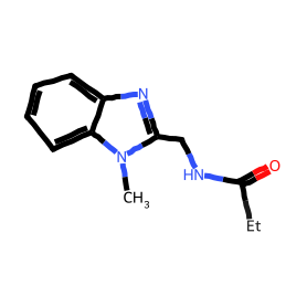 CCC(=O)NCc1nc2ccccc2n1C